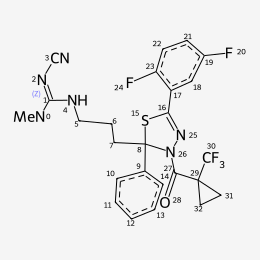 CN/C(=N/C#N)NCCCC1(c2ccccc2)SC(c2cc(F)ccc2F)=NN1C(=O)C1(C(F)(F)F)CC1